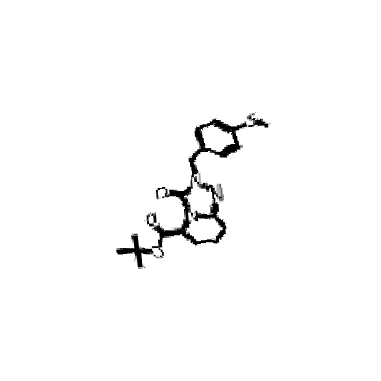 CSc1ccc(Cn2nc3n(c2=O)C(C(=O)OC(C)(C)C)CCC3)cc1